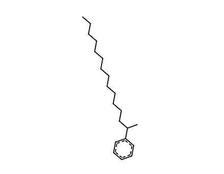 CCCCCCCCCCCCCC(C)c1ccccc1